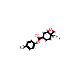 CCC(C)c1ccc(OC(=O)C2CCC3(C)COC3C2)cc1